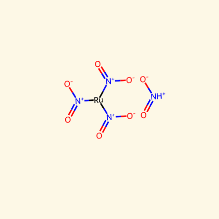 O=[N+]([O-])[Ru]([N+](=O)[O-])[N+](=O)[O-].O=[NH+][O-]